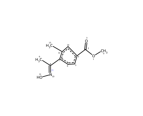 COC(=O)c1ccc(/C(C)=N/O)c(C)c1